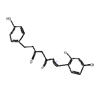 O=C(/C=C/c1ccc(O)cc1Cl)CC(=O)CCc1ccc(O)cc1